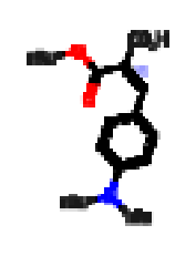 CCCCOC(=O)/C(=C\c1ccc(N(CCCC)CCCC)cc1)C(=O)O